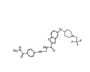 O=C(NO)c1ccc(C#CCNC(=O)c2cc3cc(OC4CCN(CC(F)(F)F)CC4)ccc3o2)cc1